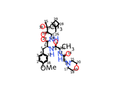 COc1ccc(C[C@H](NC(=O)[C@H](C)NC(=O)CN2CCOCC2)C(=O)N[C@@H](CC2CCC2)C(=O)[C@@]2(C)CO2)cc1